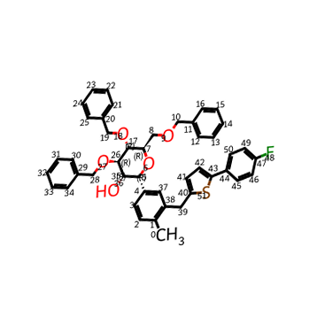 Cc1ccc([C@H]2O[C@H](COCc3ccccc3)[C@@H](OCc3ccccc3)[C@H](OCc3ccccc3)[C@H]2O)cc1Cc1ccc(-c2ccc(F)cc2)s1